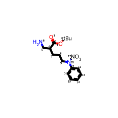 CC(C)(C)OC(=O)C(CN)CCCN(c1ccccc1)[N+](=O)[O-]